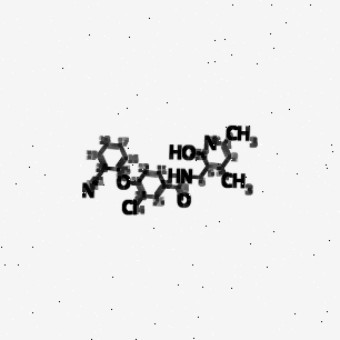 Cc1cc(C)c(CNC(=O)c2ccc(Oc3ccccc3C#N)c(Cl)c2)c(O)n1